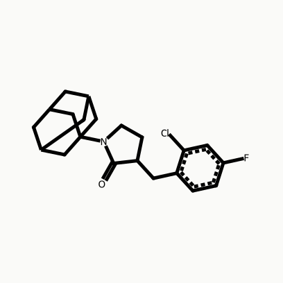 O=C1C(Cc2ccc(F)cc2Cl)CCN1C12CC3CC(CC(C3)C1)C2